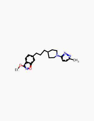 CCOc1noc2cc(CCCC3CCN(c4ccc(C)nn4)CC3)ccc12